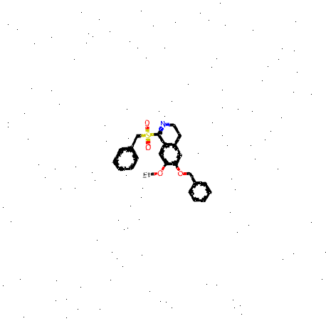 CCOc1cc2c(cc1OCc1ccccc1)CCN=C2S(=O)(=O)Cc1ccccc1